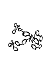 c1ccc(-c2ccccc2-c2cc3nc(-c4ccc(-c5ccc(-c6nc7ccccc7n6-c6ccccc6)cc5)cc4)c(-c4ccc(-c5ccc(-c6nc7ccccc7n6-c6ccccc6)cc5)cc4)nc3cc2-c2ccccc2-c2ccccc2)cc1